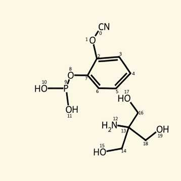 N#COc1ccccc1OP(O)O.NC(CO)(CO)CO